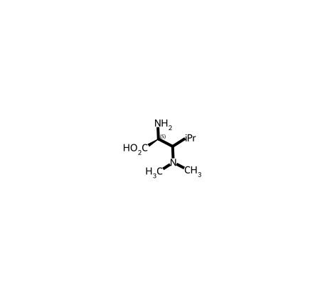 CC(C)C([C@H](N)C(=O)O)N(C)C